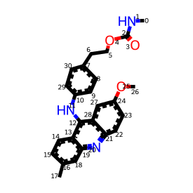 CNC(=O)OCCc1ccc(Nc2c3ccc(C)cc3nc3ccc(OC)cc23)cc1